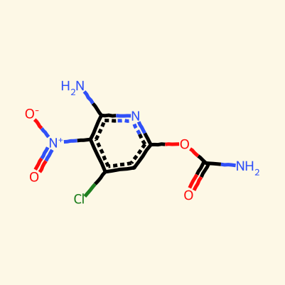 NC(=O)Oc1cc(Cl)c([N+](=O)[O-])c(N)n1